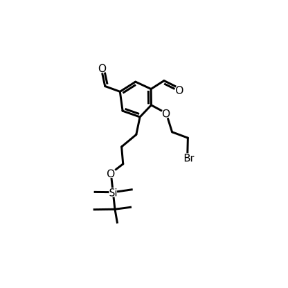 CC(C)(C)[Si](C)(C)OCCCc1cc(C=O)cc(C=O)c1OCCBr